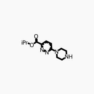 CC(C)OC(=O)c1ccc(N2CCNCC2)nn1